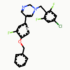 Fc1cc(C2=CN(Cc3c(F)cc(Cl)cc3F)CN=C2)ccc1OCc1ccccc1